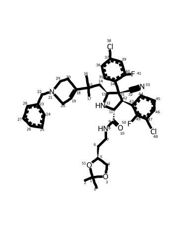 CC1(C)OC[C@H](CCNC(=O)[C@@H]2N[C@@H](CC(C)(C)C3=CCN(Cc4ccccc4)CC3)[C@](C#N)(c3ccc(Cl)cc3F)[C@H]2c2cccc(Cl)c2F)O1